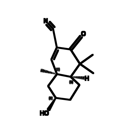 CC1(C)C(=O)C(C#N)=C[C@]2(C)C[C@H](O)CC[C@H]12